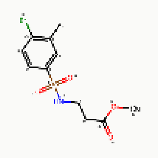 Cc1cc(S(=O)(=O)NCCC(=O)OC(C)(C)C)ccc1Br